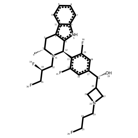 C[C@@H]1Cc2c([nH]c3ccccc23)[C@@H](c2c(F)cc([C@H](O)C3CN(CCCF)C3)cc2F)N1C[C@H](F)CF